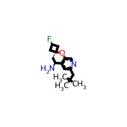 CC(C)(C)Cc1cc2c(cn1)O[C@]1(C[C@@H]2N)C[C@H](F)C1